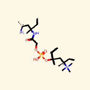 CCC(C)(C[C@@H](C)N)NC(=O)COP(=O)(O)OC(C)(CC)C[C@](C)(CC)[N+](C)(C)C